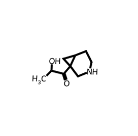 CC(O)C(=O)C12CNCCC1C2